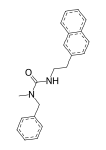 CN(Cc1ccccc1)C(=O)NCCc1ccc2ccccc2c1